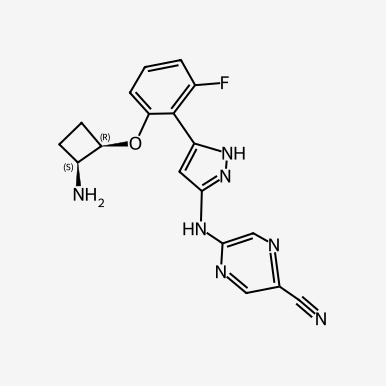 N#Cc1cnc(Nc2cc(-c3c(F)cccc3O[C@@H]3CC[C@@H]3N)[nH]n2)cn1